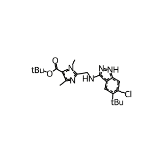 Cc1nc(CNc2n[nH]c3cc(Cl)c(C(C)(C)C)cc23)n(C)c1C(=O)OC(C)(C)C